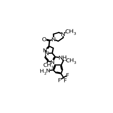 CC1=CN2N=C(C(=O)N3CCN(C)CC3)CC2C(N[C@H](C)c2cc(N)cc(C(F)(F)F)c2)=N1